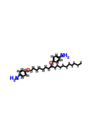 CCCCCCCCCCC(CCCCCCCOc1ccc(N)cc1)Oc1ccc(N)cc1